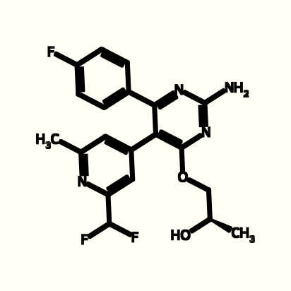 Cc1cc(-c2c(OC[C@@H](C)O)nc(N)nc2-c2ccc(F)cc2)cc(C(F)F)n1